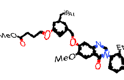 CCc1ccccc1-n1cnc2cc(OCc3cc(CC(C)CC)cc(OCCCC(=O)OC)c3)c(OC)cc2c1=O